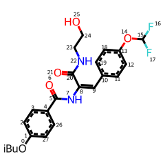 CC(C)COc1ccc(C(=O)NC(=Cc2ccc(OC(F)F)cc2)C(=O)NCCO)cc1